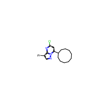 CC(C)c1cnn2c(C3CCCCCCCCC3)cc(Cl)nc12